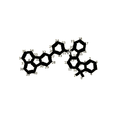 CC1(C)c2ccccc2-c2c1ccc1c2c2ccccc2n1-c1cccc(-c2ccc3c(c2)-c2cccc4cccc-3c24)c1